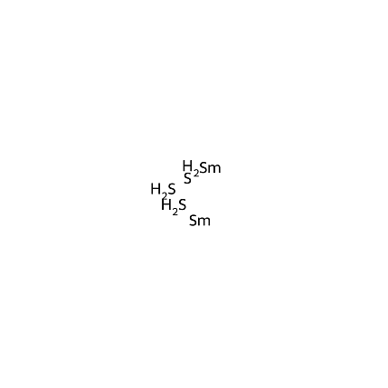 S.S.S.[Sm].[Sm]